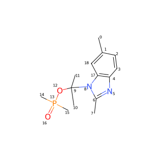 Cc1ccc2nc(C)n(C(C)(C)OP(C)(C)=O)c2c1